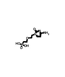 Nc1ccn(CCOCCP(=O)(O)O)c(=O)n1